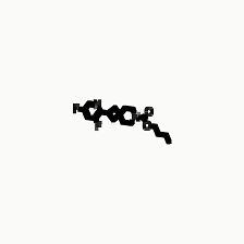 CCCCOC(=O)N1CCC2(CC1)CC(c1ncc(F)cc1F)C2